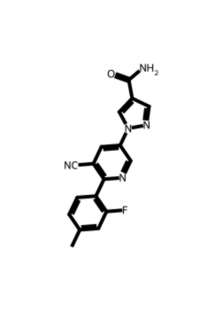 Cc1ccc(-c2ncc(-n3cc(C(N)=O)cn3)cc2C#N)c(F)c1